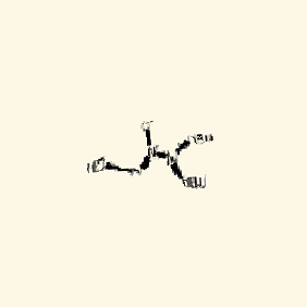 CCCCN(/[N+]([O-])=N/O)C(C)(C)C